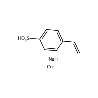 C=Cc1ccc(S(=O)(=O)O)cc1.[Co].[NaH]